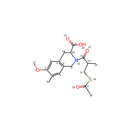 COc1cc2c(cc1C)CN(C(=O)C(C)CSC(C)=O)C(C(=O)O)C2